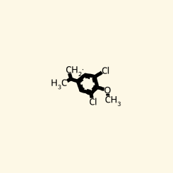 [CH2]C(C)c1cc(Cl)c(OC)c(Cl)c1